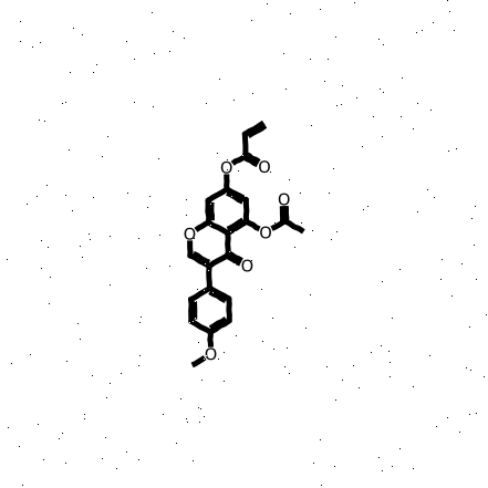 C=CC(=O)Oc1cc(OC(C)=O)c2c(=O)c(-c3ccc(OC)cc3)coc2c1